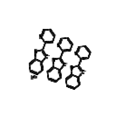 [Ir+3].[c-]1c(-c2ccccn2)sc2ccccc12.[c-]1c(-c2ccccn2)sc2ccccc12.[c-]1c(-c2ccccn2)sc2ccccc12